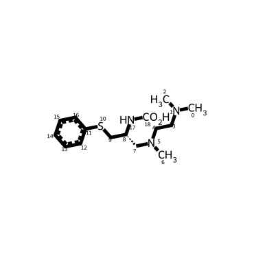 CN(C)CCN(C)C[C@H](CSc1ccccc1)NC(=O)O